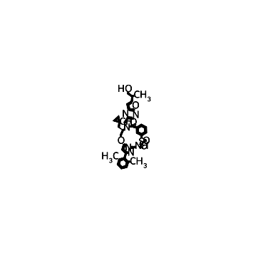 Cc1cccc(C)c1-c1cc2nc(n1)NS(=O)(=O)c1cccc(c1)C(=O)N(Cc1cnc3oc(C(C)CO)cc3n1)[C@H](CC1(C)CC1)CO2